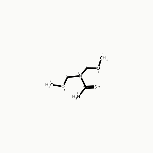 COCN(COC)C(N)=S